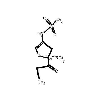 CCC(=O)[C@]1(C)CC(NS(C)(=O)=O)=CS1